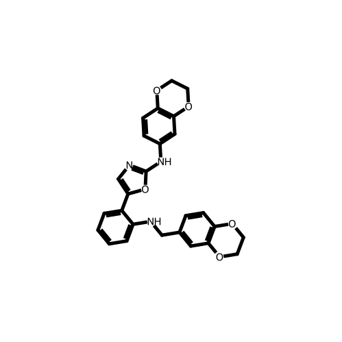 c1ccc(-c2cnc(Nc3ccc4c(c3)OCCO4)o2)c(NCc2ccc3c(c2)OCCO3)c1